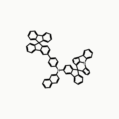 c1ccc2c(c1)-c1ccccc1C21c2ccccc2-c2cc(-c3ccc(N(c4ccc5c(c4)-c4ccccc4C54c5ccccc5-n5c6ccccc6c6cccc4c65)c4ccc5ccccc5c4)cc3)ccc21